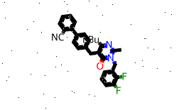 CCCCc1nc(C)n(Cc2cccc(F)c2F)c(=O)c1Cc1ccc(-c2ccccc2C#N)cc1